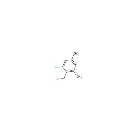 Cc1cc(C)c(CI)c(F)c1